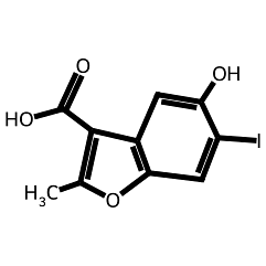 Cc1oc2cc(I)c(O)cc2c1C(=O)O